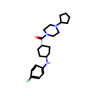 O=C([C@H]1CC[C@H](Nc2ccc(Cl)cc2)CC1)N1CCN(C2CCCC2)CC1